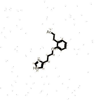 CC(=O)CCc1ccccc1OCCCc1c[nH]cn1